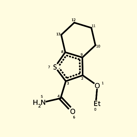 CCOc1c(C(N)=O)sc2c1CCCC2